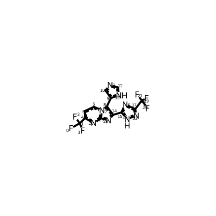 FC(F)(F)c1ccn2c(-c3cnc[nH]3)c(-c3nc(C(F)(F)F)n[nH]3)nc2n1